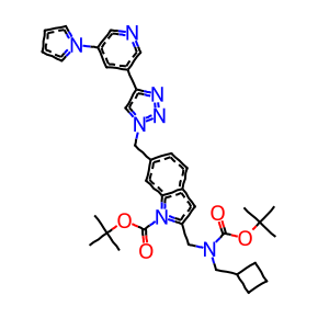 CC(C)(C)OC(=O)N(Cc1cc2ccc(Cn3cc(-c4cncc(-n5cccc5)c4)nn3)cc2n1C(=O)OC(C)(C)C)CC1CCC1